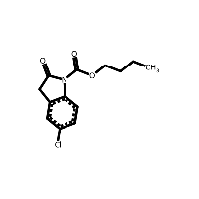 CCCCOC(=O)N1C(=O)Cc2cc(Cl)ccc21